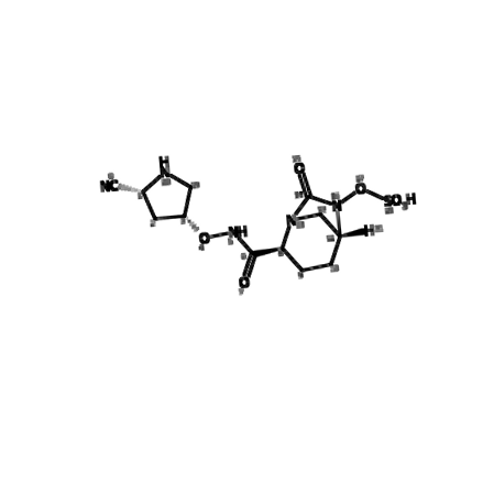 N#C[C@H]1C[C@@H](ONC(=O)[C@@H]2CC[C@@H]3CN2C(=O)N3OS(=O)(=O)O)CN1